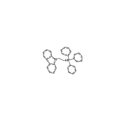 c1ccc([PH](CCn2c3ccccc3c3ccccc32)(c2ccccc2)c2ccccc2)cc1